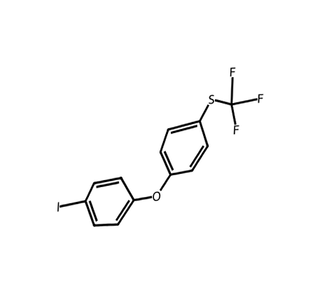 FC(F)(F)Sc1ccc(Oc2ccc(I)cc2)cc1